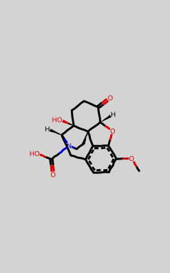 COc1ccc2c3c1O[C@H]1C(=O)CC[C@@]4(O)[C@@H](C2)N(C(=O)O)CC[C@]314